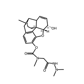 CN(C)NC(=O)CN(C)C(=O)Oc1ccc2c3c1O[C@H]1[C@@H](O)C=CC4C(C2)N(C)CC[C@@]341